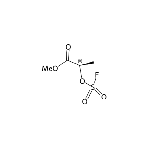 COC(=O)[C@@H](C)OS(=O)(=O)F